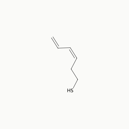 C=C/C=C\CCS